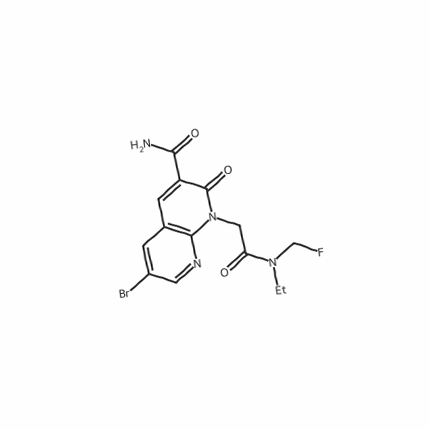 CCN(CF)C(=O)Cn1c(=O)c(C(N)=O)cc2cc(Br)cnc21